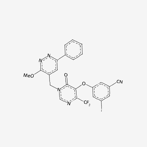 COc1nnc(-c2ccccc2)cc1Cn1cnc(C(F)(F)F)c(Oc2cc(C)cc(C#N)c2)c1=O